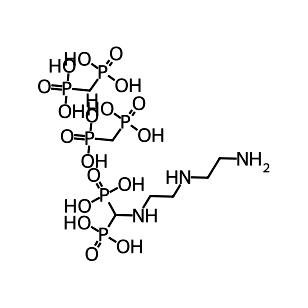 NCCNCCNC(P(=O)(O)O)P(=O)(O)O.O=P(O)(O)CP(=O)(O)O.O=P(O)(O)CP(=O)(O)O